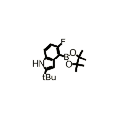 CC(C)(C)c1cc2c(B3OC(C)(C)C(C)(C)O3)c(F)ccc2[nH]1